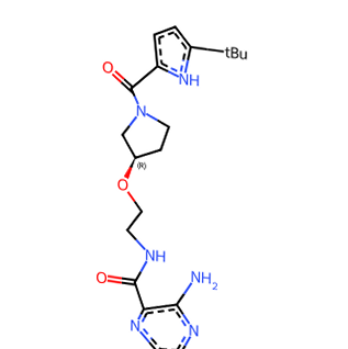 CC(C)(C)c1ccc(C(=O)N2CC[C@@H](OCCNC(=O)c3nccnc3N)C2)[nH]1